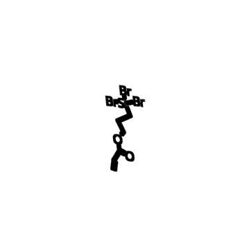 C=CC(=O)OCCC[Si](Br)(Br)Br